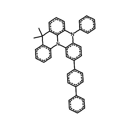 CC1(C)c2ccccc2N2c3cc(-c4ccc(-c5ccccc5)cc4)ccc3N(c3ccccc3)c3cccc1c32